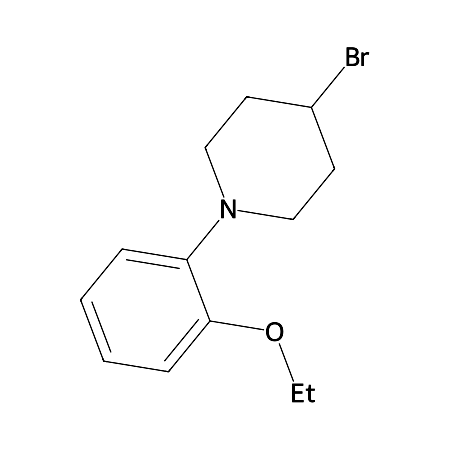 CCOc1ccccc1N1CCC(Br)CC1